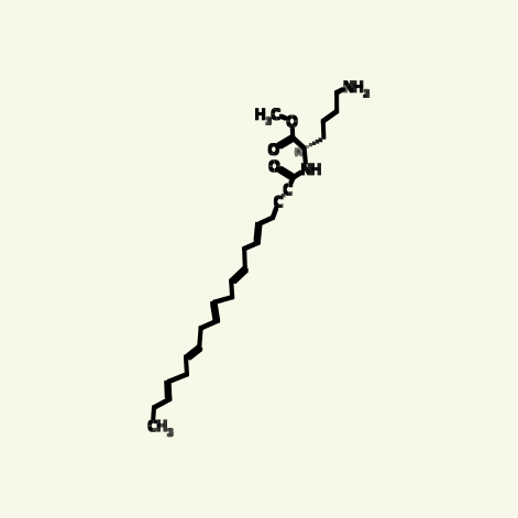 CCC=CCC=CCC=CCC=CCC=CCCCC(=O)N[C@@H](CCCCN)C(=O)OC